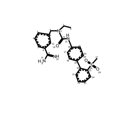 CCN(Cc1cccc(C(=N)N)c1)C(=O)Nc1ccc(-c2ccccc2S(C)(=O)=O)cc1